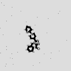 [O]Cc1nnc(C2CCN(c3ccccn3)CC2)n1Cc1ccccc1